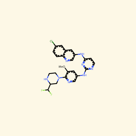 COc1cc(Nc2nccc(Nc3cnc4ccc(Cl)cc4c3)n2)cnc1N1CCNC(C(F)F)C1